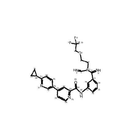 N=CN(CCOCC(F)(F)F)C(=N)c1cccc(NC(=O)c2cc(-c3ccc(C4CC4)nc3)ccn2)c1